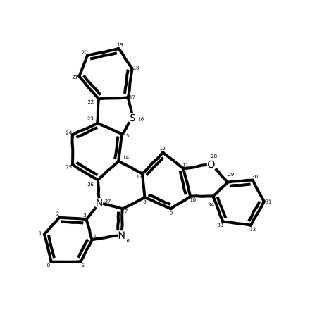 c1ccc2c(c1)nc1c3cc4c(cc3c3c5sc6ccccc6c5ccc3n21)oc1ccccc14